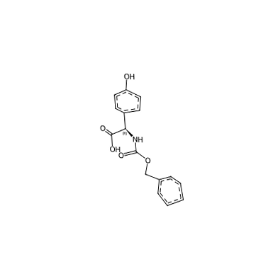 O=C(N[C@@H](C(=O)O)c1ccc(O)cc1)OCc1ccccc1